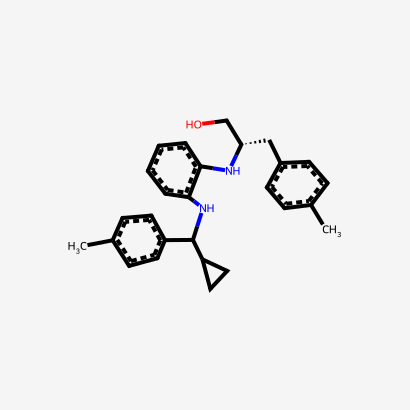 Cc1ccc(C[C@@H](CO)Nc2ccccc2NC(c2ccc(C)cc2)C2CC2)cc1